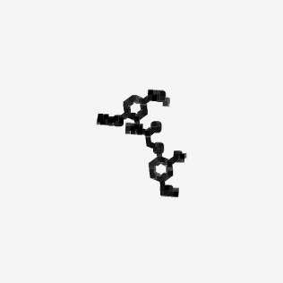 COc1ccc([N+](=O)[O-])cc1NC(=O)COc1ccc(C(C)(C)C)cc1Br